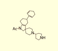 CC(=O)N1CC2(CCN(C3CCNCC3)CC2)C2=C1CCC(C1=CCCC=C1)C2